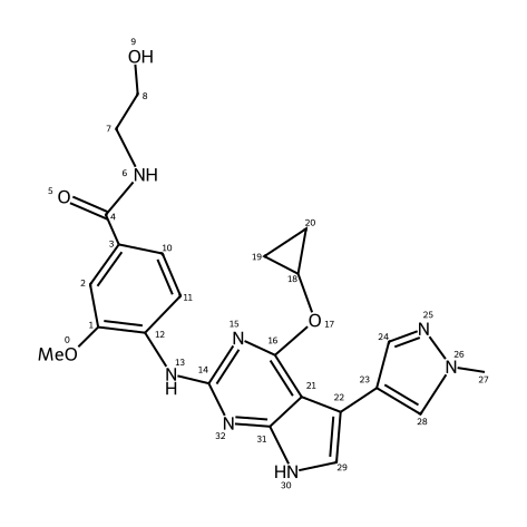 COc1cc(C(=O)NCCO)ccc1Nc1nc(OC2CC2)c2c(-c3cnn(C)c3)c[nH]c2n1